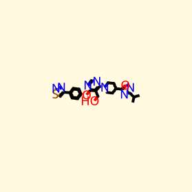 CC(C)c1noc(C2CCN(c3ncnc(Oc4ccc(-c5csnn5)cc4)c3CO)CC2)n1